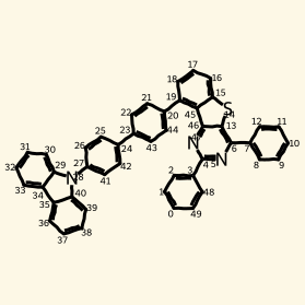 c1ccc(-c2nc(-c3ccccc3)c3sc4cccc(-c5ccc(-c6ccc(-n7c8ccccc8c8ccccc87)cc6)cc5)c4c3n2)cc1